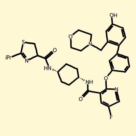 CC(C)C1=NC(C(=O)N[C@H]2CC[C@@H](NC(=O)c3cc(F)cnc3Oc3cccc(-c4ccc(O)cc4CN4CCOCC4)c3)CC2)CS1